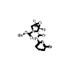 CC(C)(C)OC(=O)N1C[C@H]2O[C@@H]2[C@@H]1C(=O)Nc1cccc(Br)n1